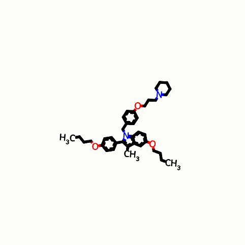 CCCCOc1ccc(-c2c(C)c3cc(OCCCC)ccc3n2Cc2ccc(OCCCN3CCCCC3)cc2)cc1